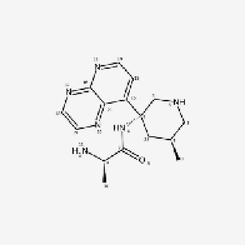 C[C@@H]1CNC[C@](NC(=O)[C@@H](C)N)(c2ccnc3nccnc23)C1